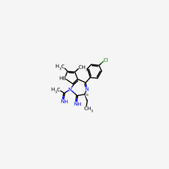 CC[C@@H]1N=C(c2ccc(Cl)cc2)C2=C(BC(C)=C2C)N(C(C)=N)C1=N